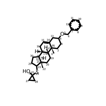 C[C@]12CCC(OCc3ccccc3)CC1=CC[C@@H]1[C@H]2CC[C@]2(C)C(SC3(O)CC3)CC[C@@H]12